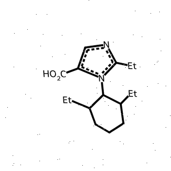 CCc1ncc(C(=O)O)n1C1C(CC)CCCC1CC